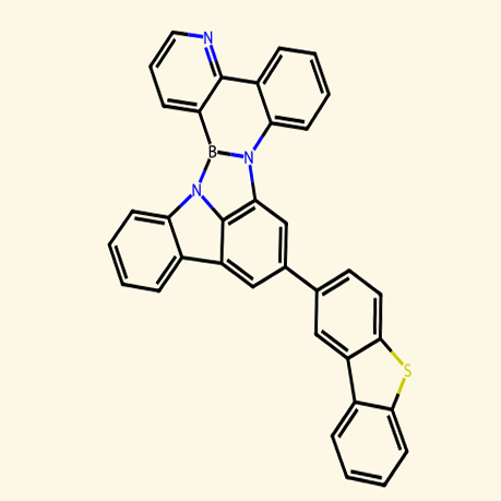 c1cnc2c(c1)B1N(c3ccccc3-2)c2cc(-c3ccc4sc5ccccc5c4c3)cc3c4ccccc4n1c23